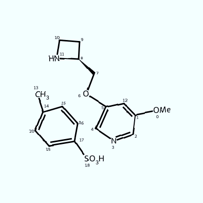 COc1cncc(OC[C@@H]2CCN2)c1.Cc1ccc(S(=O)(=O)O)cc1